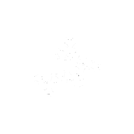 c1ccc(-n2c3ccccc3c3cc(-c4ccc5c(c4)c4ccccc4n5-c4cc(-c5ccc6c7ccccc7c7ccccc7c6c5)c5c(c4)-c4ccccc4C5)ccc32)cc1